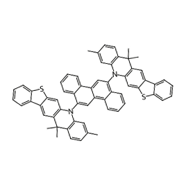 Cc1ccc2c(c1)N(c1cc3c4ccccc4c(N4c5cc(C)ccc5C(C)(C)c5cc6c(cc54)sc4ccccc46)cc3c3ccccc13)c1cc3sc4ccccc4c3cc1C2(C)C